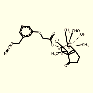 CC1CCC23CCC(=O)C2[C@]1(C)[C@H](OC(=O)CSc1cccc(CN=[N+]=[N-])c1)C[C@@](C)(C=O)[C@@H](O)[C@@H]3C